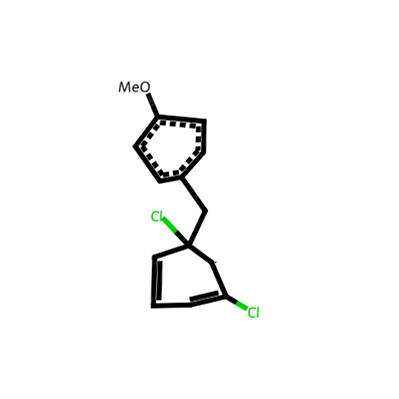 COc1ccc(CC2(Cl)[CH]C(Cl)=CC=C2)cc1